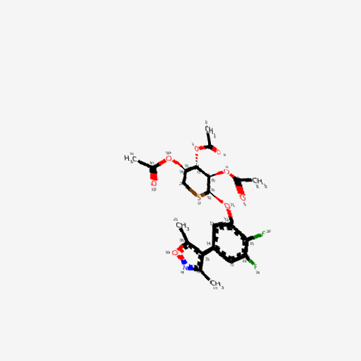 CC(=O)O[C@@H]1[C@@H](OC(C)=O)[C@@H](Oc2cc(-c3c(C)noc3C)cc(F)c2F)SC[C@H]1OC(C)=O